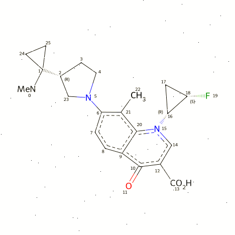 CNC1([C@@H]2CCN(c3ccc4c(=O)c(C(=O)O)cn([C@@H]5C[C@@H]5F)c4c3C)C2)CC1